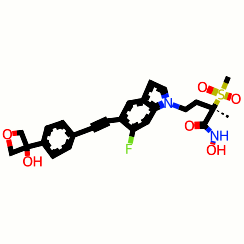 C[C@@](CCn1ccc2cc(C#Cc3ccc(C4(O)COC4)cc3)c(F)cc21)(C(=O)NO)S(C)(=O)=O